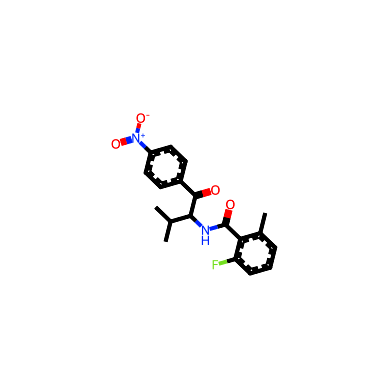 Cc1cccc(F)c1C(=O)NC(C(=O)c1ccc([N+](=O)[O-])cc1)C(C)C